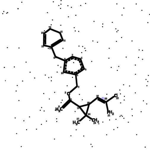 C=C(OCc1cccc(CC2=CCCC=C2)c1)C1C(/C=C(\P)Cl)C1(C)C